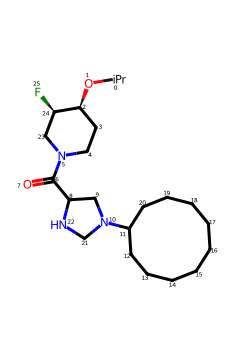 CC(C)O[C@H]1CCN(C(=O)C2CN(C3CCCCCCCCC3)CN2)C[C@H]1F